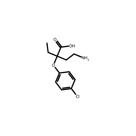 CCC(CCN)(Oc1ccc(Cl)cc1)C(=O)O